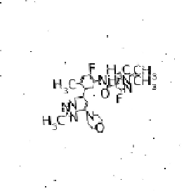 Cc1nc2c(N3CCOCC3)cc(-c3cc(NC(=O)c4cn(C(C)(C)C)nc4F)c(F)cc3C)cn2n1